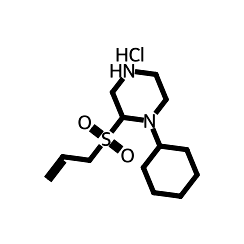 C=CCS(=O)(=O)C1CNCCN1C1CCCCC1.Cl